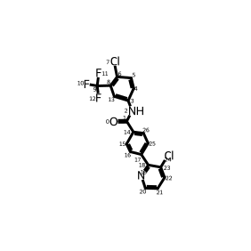 O=C(Nc1ccc(Cl)c(C(F)(F)F)c1)c1ccc(-c2ncccc2Cl)cc1